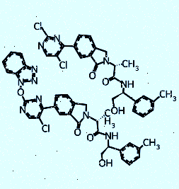 Cc1cccc([C@@H](CO)NC(=O)[C@@H](C)N2Cc3ccc(-c4nc(Cl)ncc4Cl)cc3C2=O)c1.Cc1cccc([C@@H](CO)NC(=O)[C@@H](C)N2Cc3ccc(-c4nc(On5nnc6ccccc65)ncc4Cl)cc3C2=O)c1